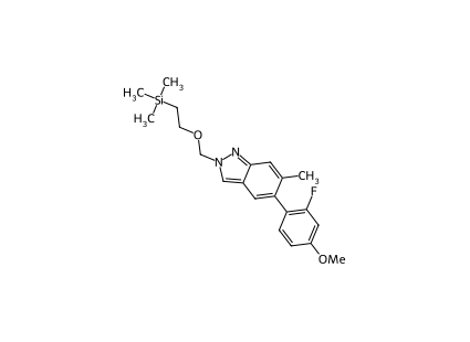 COc1ccc(-c2cc3cn(COCC[Si](C)(C)C)nc3cc2C)c(F)c1